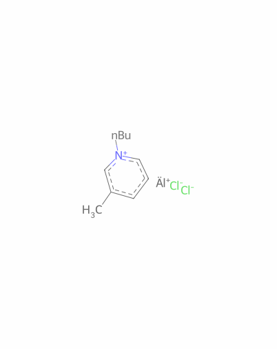 CCCC[n+]1cccc(C)c1.[Al+].[Cl-].[Cl-]